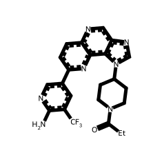 CCC(=O)N1CCC(n2cnc3cnc4ccc(-c5cnc(N)c(C(F)(F)F)c5)nc4c32)CC1